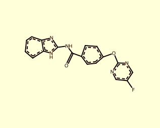 O=C(Nc1nc2ccccc2[nH]1)c1ccc(Oc2ncc(F)cn2)cc1